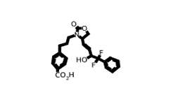 O=C(O)c1ccc(CCCN2C(=O)OCC2C=CC(O)C(F)(F)c2ccccc2)cc1